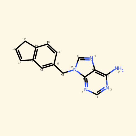 Nc1ncnc2c1ncn2Cc1ccc2c(c1)C=CC2